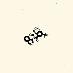 CCn1c(=O)n(-c2cncc3ccccc23)c(=O)c2cc(C(F)(F)F)ccc21